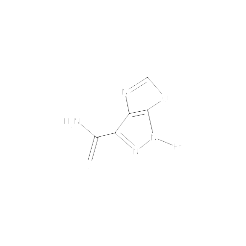 CCn1nc(C(N)=O)c2ncoc21